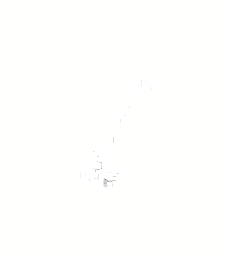 CCCCCCCCCCCCCCCCCCc1c(Br)sc(C)c1C1C(F)=C(F)C(F)(F)C1(F)F